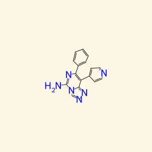 Nc1nc(-c2ccccc2)c(-c2ccncc2)c2nncn12